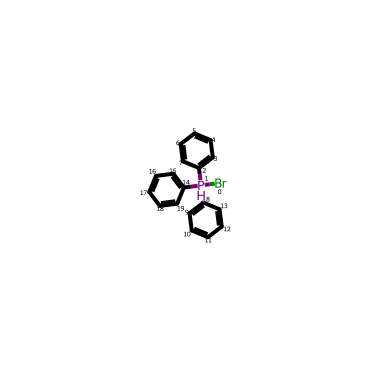 Br[PH](c1ccccc1)(c1ccccc1)c1ccccc1